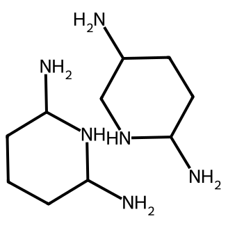 NC1CCC(N)NC1.NC1CCCC(N)N1